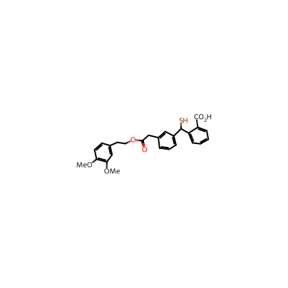 COc1ccc(CCOC(=O)Cc2cccc(C(S)c3ccccc3C(=O)O)c2)cc1OC